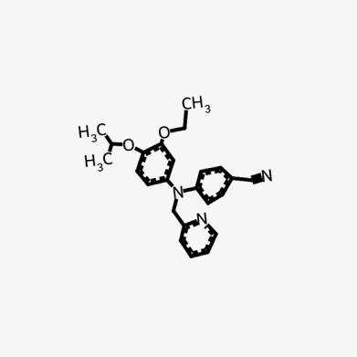 CCOc1cc(N(Cc2ccccn2)c2ccc(C#N)cc2)ccc1OC(C)C